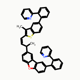 Cc1c(/C=C\C(C)c2ccc3oc4ccc(-c5ccccc5-c5ccccn5)cc4c3c2)sc2ccc(-c3ccccc3-c3ccccn3)cc12